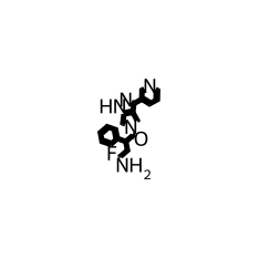 NCCC(C(=O)N1Cc2[nH]nc(-c3cccnc3)c2C1)c1ccccc1F